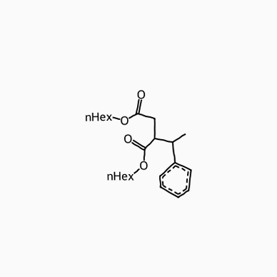 CCCCCCOC(=O)CC(C(=O)OCCCCCC)C(C)c1ccccc1